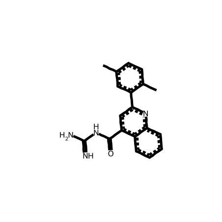 Cc1ccc(C)c(-c2cc(C(=O)NC(=N)N)c3ccccc3n2)c1